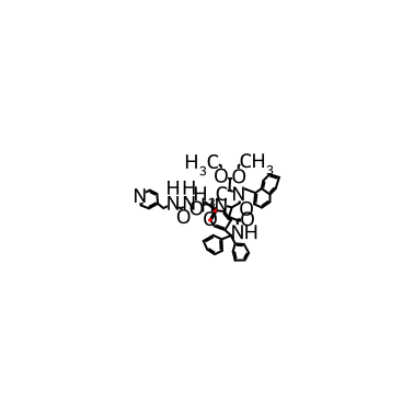 CCOC(OCC)C(C)N(Cc1cccc2ccccc12)C(=O)C(CC(=O)NC(c1ccccc1)(c1ccccc1)c1ccccc1)NC(=O)CONC(=O)NCc1ccncc1